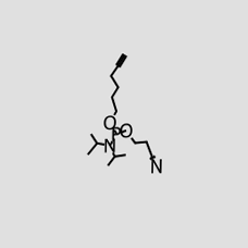 C#CCCCCOP(OCCC#N)N(C(C)C)C(C)C